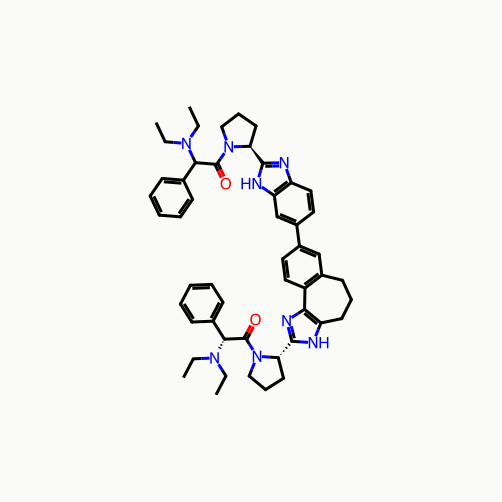 CCN(CC)C(C(=O)N1CCC[C@H]1c1nc2ccc(-c3ccc4c(c3)CCCc3[nH]c([C@@H]5CCCN5C(=O)[C@@H](c5ccccc5)N(CC)CC)nc3-4)cc2[nH]1)c1ccccc1